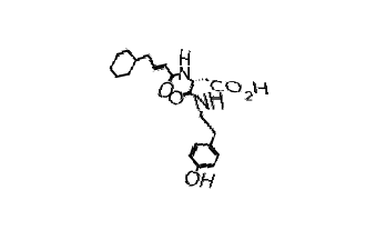 O=C(O)C[C@@H](NC(=O)/C=C/CC1CCCCC1)C(=O)NCCc1ccc(O)cc1